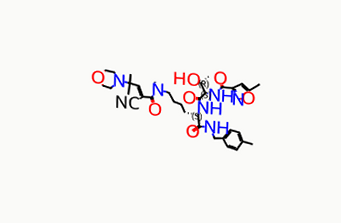 Cc1ccc(CNC(=O)[C@H](CCCCN(C)C(=O)C(C#N)=CC(C)(C)N2CCOCC2)NC(=O)[C@@H](NC(=O)c2cc(C)on2)[C@@H](C)O)cc1